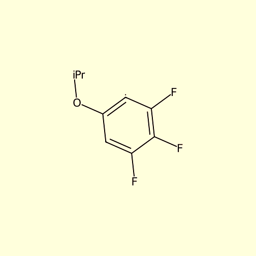 CC(C)Oc1[c]c(F)c(F)c(F)c1